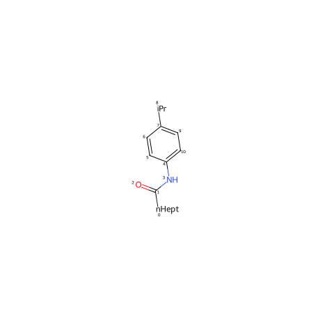 CCCCCCCC(=O)Nc1ccc(C(C)C)cc1